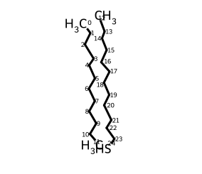 CCCCCCCCCCCC.CCCCCCCCCCCCS